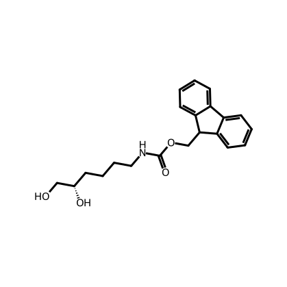 O=C(NCCCC[C@H](O)CO)OCC1c2ccccc2-c2ccccc21